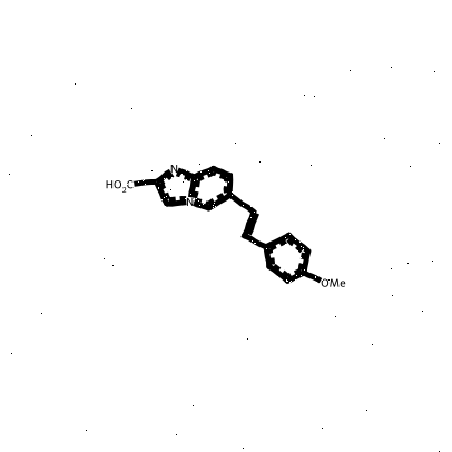 COc1ccc(C=Cc2ccc3nc(C(=O)O)cn3c2)cc1